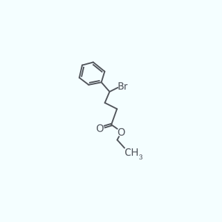 CCOC(=O)CCC(Br)c1ccccc1